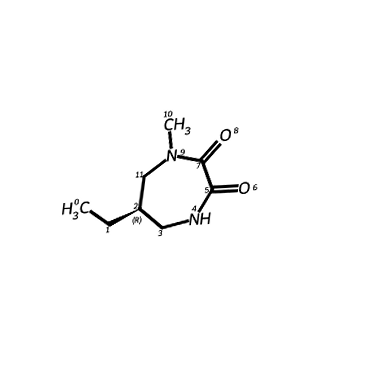 CC[C@@H]1CNC(=O)C(=O)N(C)C1